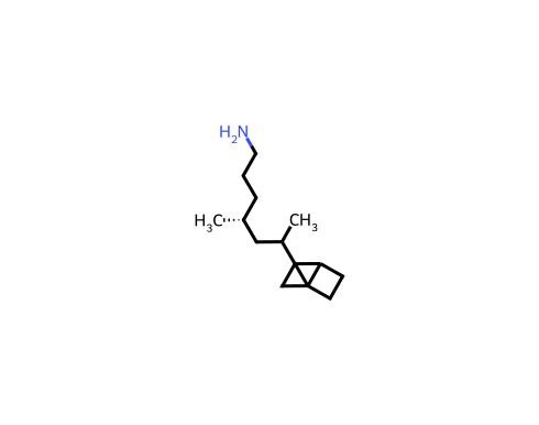 CC(C[C@H](C)CCCN)C12CC13CCC32